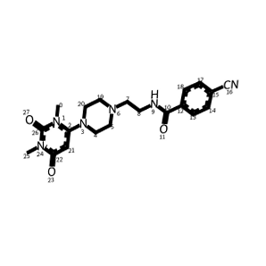 Cn1c(N2CCN(CCNC(=O)c3ccc(C#N)cc3)CC2)cc(=O)n(C)c1=O